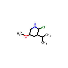 COC1CNC(Cl)C(C(C)C)C1